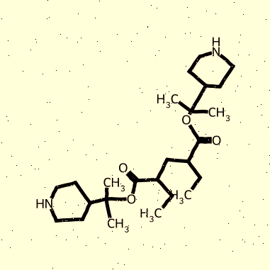 CCC(CC(CC)C(=O)OC(C)(C)C1CCNCC1)C(=O)OC(C)(C)C1CCNCC1